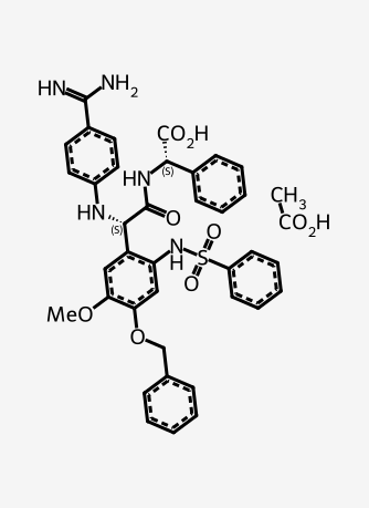 CC(=O)O.COc1cc([C@H](Nc2ccc(C(=N)N)cc2)C(=O)N[C@H](C(=O)O)c2ccccc2)c(NS(=O)(=O)c2ccccc2)cc1OCc1ccccc1